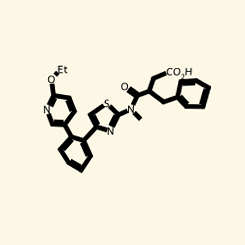 CCOc1ccc(-c2ccccc2-c2csc(N(C)C(=O)C(CC(=O)O)Cc3ccccc3)n2)cn1